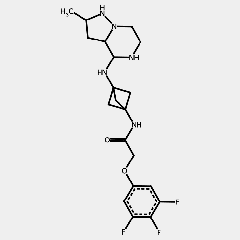 CC1CC2C(NC34CC(NC(=O)COc5cc(F)c(F)c(F)c5)(C3)C4)NCCN2N1